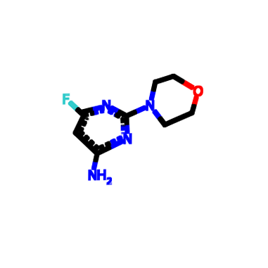 Nc1cc(F)nc(N2CCOCC2)n1